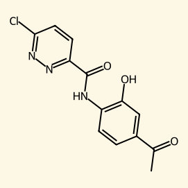 CC(=O)c1ccc(NC(=O)c2ccc(Cl)nn2)c(O)c1